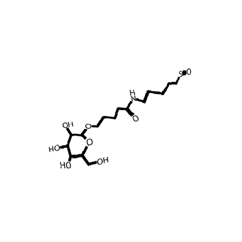 O=[S+]CCCCCNC(=O)CCCCOC1OC(CO)C(O)C(O)C1O